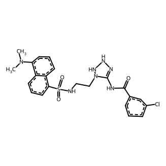 CN(C)c1cccc2c(S(=O)(=O)NCCN3NNN=C3NC(=O)c3cccc(Cl)c3)cccc12